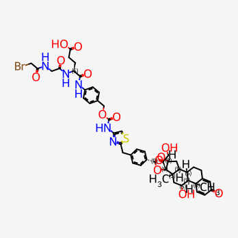 C[C@]12C=CC(=O)C=C1CC[C@@H]1[C@@H]2[C@@H](O)C[C@@]2(C)[C@H]1C[C@H]1O[C@@H](c3ccc(Cc4nc(NC(=O)OCc5ccc(NC(=O)[C@H](CCC(=O)O)NC(=O)CNC(=O)CBr)cc5)cs4)cc3)O[C@]12C(=O)CO